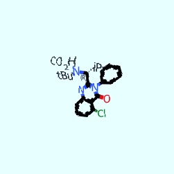 CC(C)[C@H](c1nc2cccc(Cl)c2c(=O)n1-c1ccccc1)N(C(=O)O)C(C)(C)C